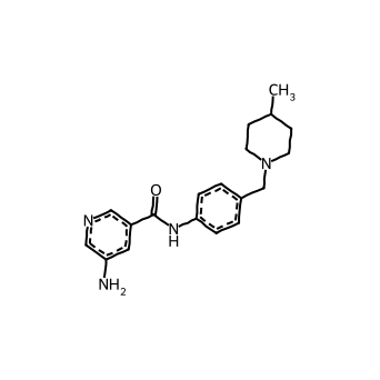 CC1CCN(Cc2ccc(NC(=O)c3cncc(N)c3)cc2)CC1